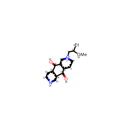 CCC(C[n+]1ccc2c(c1)C(=O)c1ccncc1C2=O)OC